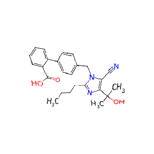 CCCCc1nc(C(C)(C)O)c(C#N)n1Cc1ccc(-c2ccccc2C(=O)O)cc1